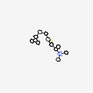 C1=CCCC(c2nc(-c3ccccc3)nc(-c3ccc(-c4ccc5c6c(sc5c4)C=C(c4cccc(C5C=CC=C(c7ccc8c9ccccc9c9ccccc9c8c7)C5)c4)CC6)c4ccccc34)n2)=C1